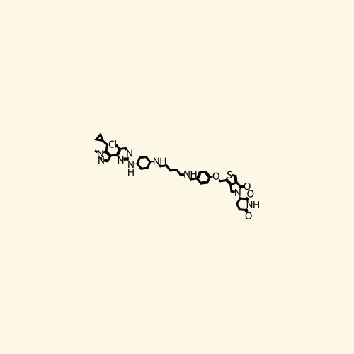 Cn1ncc(-c2nc(N[C@H]3CC[C@H](NCCCCCNCc4ccc(OCc5scc6c5CN([C@H]5CCC(=O)NC5=O)C6=O)cc4)CC3)ncc2Cl)c1CC1CC1